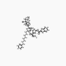 CC1(C)[C@H]2CC3OB([C@H](CCCCCCCCCCc4ccccc4)NC(=O)[C@@H]4C[C@@H](OC(=O)N5Cc6ccccc6C5)CN4C(N)=O)O[C@]3(C)[C@@H]1C2